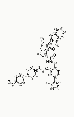 Cc1ncsc1-c1ccc(CNC(=O)[C@@H]2CCCN2C(=O)[C@H](C(C)C)N2Cc3ccccc3C2=O)c(OCCN2CCN(c3ccc(C=O)cn3)CC2)c1